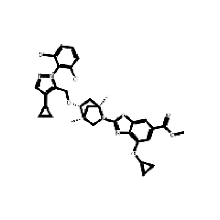 COC(=O)c1cc(OC2CC2)c2nc(N3C[C@@H]4C[C@H]3C[C@H]4OCc3c(C4CC4)cnn3-c3c(Cl)cccc3Cl)sc2c1